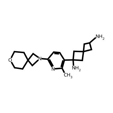 Cc1nc(N2CC3(CCOCC3)C2)ccc1C1(N)CC2(CC(N)C2)C1